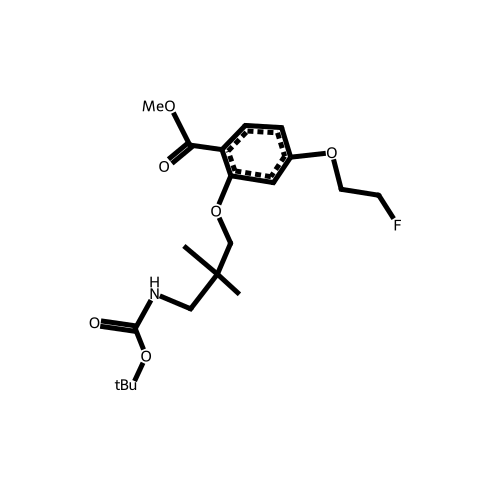 COC(=O)c1ccc(OCCF)cc1OCC(C)(C)CNC(=O)OC(C)(C)C